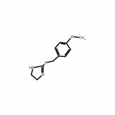 COc1ccc(CSC2=NCCN2)cc1